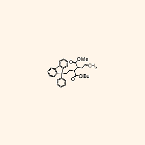 C=CCC(C(=O)OC)[C@H](CCC1(c2ccccc2)c2ccccc2-c2ccccc21)C(=O)OCC(C)C